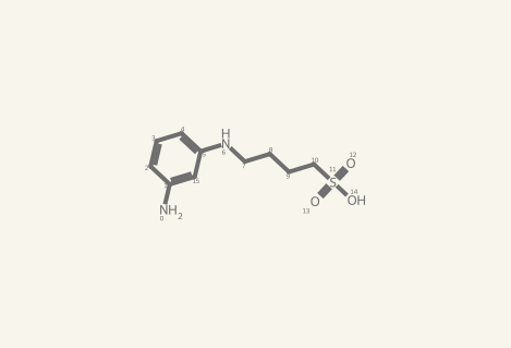 Nc1cccc(NCCCCS(=O)(=O)O)c1